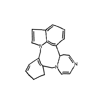 C1=CC2=C(CC1)N1C=CN=CC1c1cccc3ccn2c13